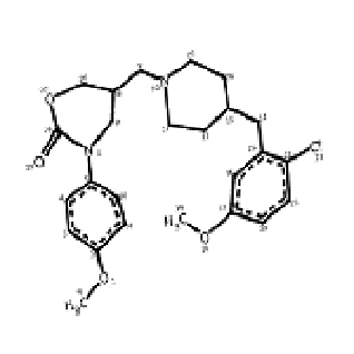 COc1ccc(N2CC(CN3CCC(Cc4cc(OC)ccc4Cl)CC3)COC2=O)cc1